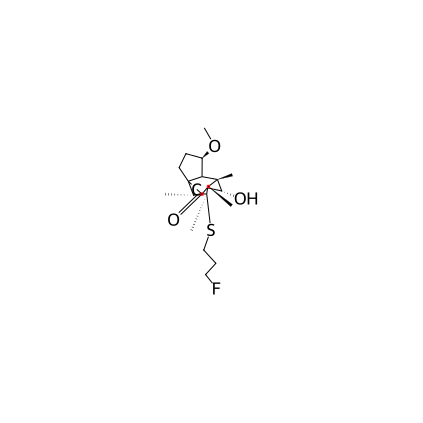 CO[C@@H]1CCC23CC[C@@H](C)[C@](C)(C12)[C@H](O)C[C@@](C)(SCCCF)C(=O)[C@@H]3C